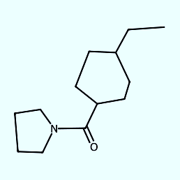 CCC1CCC(C(=O)N2CCCC2)CC1